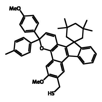 COc1ccc(C2(c3ccc(C)cc3)C=Cc3c4c(c5cc(CS)c(OC)cc5c3O2)-c2ccccc2C42CC(C)(C)CC(C)(C)C2)cc1